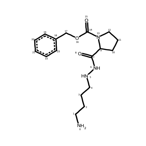 NCCCCNNC(=O)C1CCCN1C(=O)OCc1ccccc1